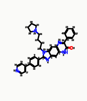 O=c1[nH]c2cc3nc(-c4ccc(-c5ccncc5)cc4)n(CCCCN4CCCC4)c3cc2nc1-c1ccccc1